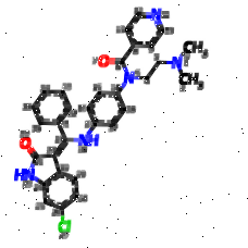 CN(C)CCN(C(=O)c1ccncc1)c1ccc(NC(=C2C(=O)Nc3cc(Cl)ccc32)c2ccccc2)cc1